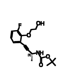 C[C@H](C#Cc1cccc(F)c1OCCO)NC(=O)OC(C)(C)C